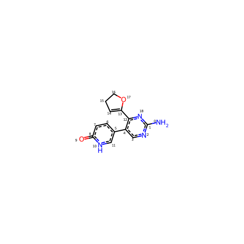 Nc1ncc(-c2ccc(=O)[nH]c2)c(C2=CCCO2)n1